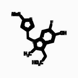 CSc1cc(Cn2c(C)c(CC(=O)O)c3cc(O)c(F)cc32)cs1